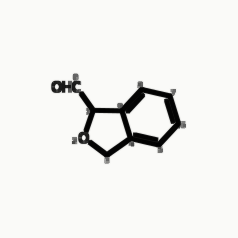 O=CC1OCc2c[c]ccc21